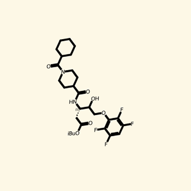 CC(C)COC(=O)C[C@H](NC(=O)C1CCN(C(=O)C2CCCCC2)CC1)C(O)COc1c(F)c(F)cc(F)c1F